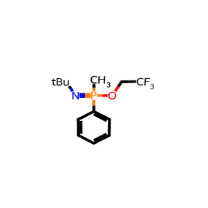 CC(C)(C)N=P(C)(OCC(F)(F)F)c1ccccc1